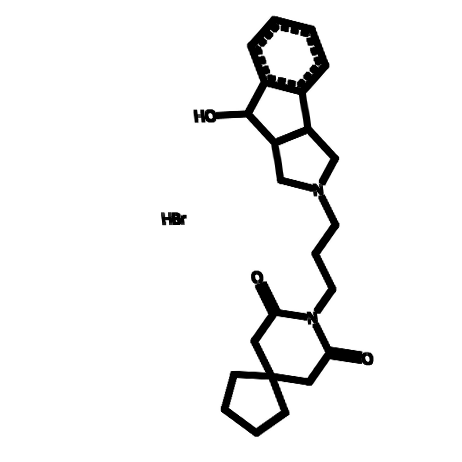 Br.O=C1CC2(CCCC2)CC(=O)N1CCCN1CC2c3ccccc3C(O)C2C1